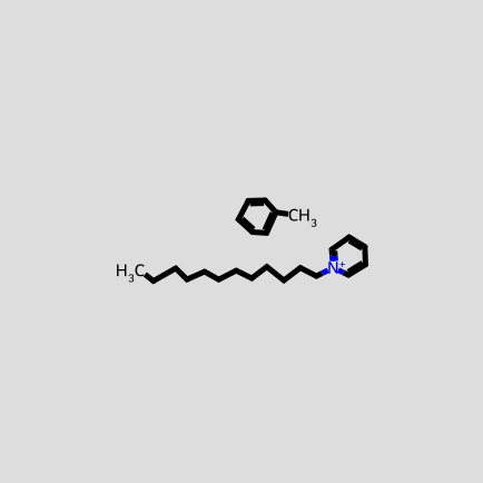 CCCCCCCCCCCC[n+]1ccccc1.Cc1ccccc1